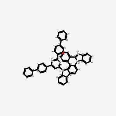 c1ccc(-c2ccc(-c3cc(-n4c5ccccc5c5ccc6c(c7ccccc7c7nc8ccccc8n67)c54)nc(-c4ccc(-c5ccccc5)cc4)n3)cc2)cc1